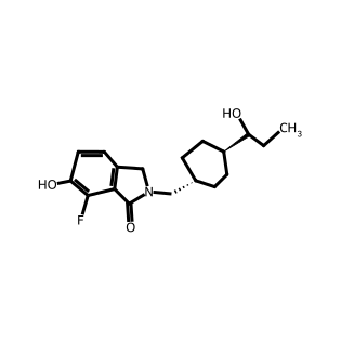 CCC(O)[C@H]1CC[C@H](CN2Cc3ccc(O)c(F)c3C2=O)CC1